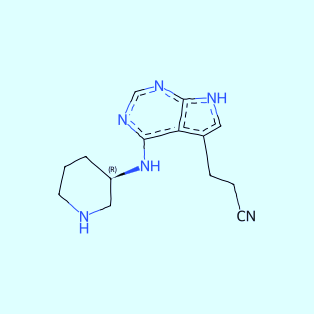 N#CCCc1c[nH]c2ncnc(N[C@@H]3CCCNC3)c12